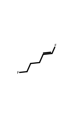 F/C=C/CCCF